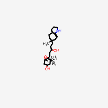 CC1(CCC(O)CCC23OC2(C)CC(O)CC3(C)C)CC=C2NCCCC2CC1